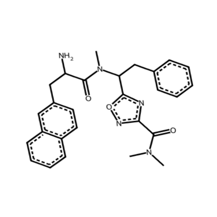 CN(C)C(=O)c1noc(C(Cc2ccccc2)N(C)C(=O)C(N)Cc2ccc3ccccc3c2)n1